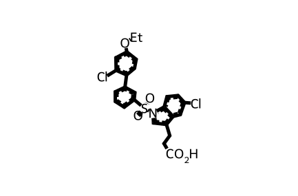 CCOc1ccc(-c2cccc(S(=O)(=O)n3cc(CCC(=O)O)c4cc(Cl)ccc43)c2)c(Cl)c1